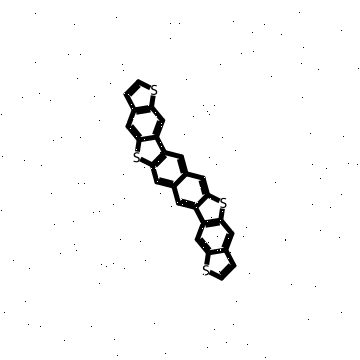 c1cc2cc3sc4cc5cc6c(cc5cc4c3cc2s1)sc1cc2ccsc2cc16